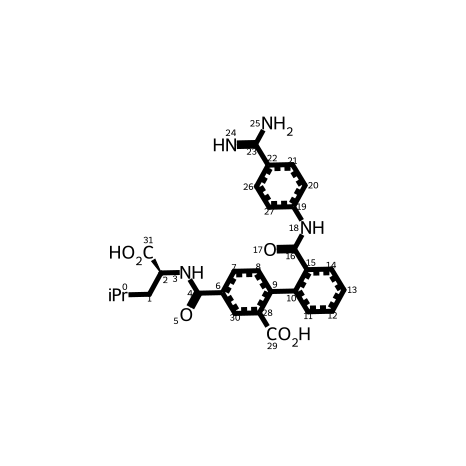 CC(C)C[C@H](NC(=O)c1ccc(-c2ccccc2C(=O)Nc2ccc(C(=N)N)cc2)c(C(=O)O)c1)C(=O)O